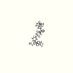 CC(C)(C)c1cccc(C2CCN(C(=O)C3CC4(CCCN4)C3)CC2)c1